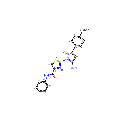 COc1ccc(-c2cc(N)n(-c3nc(C(=O)Nc4ccccc4)cs3)n2)cc1